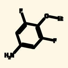 CCOc1c(F)cc(N)cc1F